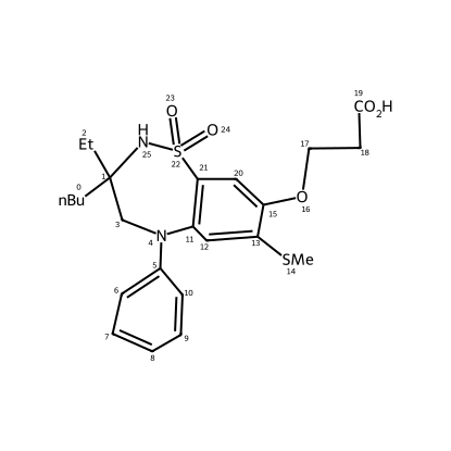 CCCCC1(CC)CN(c2ccccc2)c2cc(SC)c(OCCC(=O)O)cc2S(=O)(=O)N1